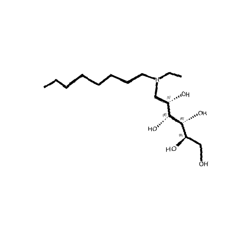 CCCCCCCCN(CC)C[C@H](O)[C@@H](O)[C@H](O)[C@H](O)CO